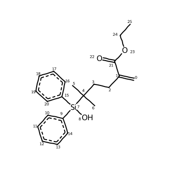 C=C(CCC(C)(C)[Si](O)(c1ccccc1)c1ccccc1)C(=O)OCC